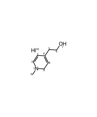 CN1C=CC(CCO)=CC1.I